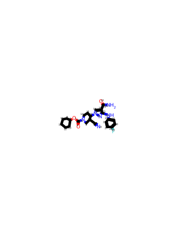 N#CC1CN(C(=O)OC2CCCCC2)CCC1n1cc(C(N)=O)c(Nc2ccc(F)cc2)n1